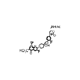 CC(=O)NC[C@H]1CN(c2ccc(OCC3(O)CCN(c4nc5c(cc4F)c(=O)c(C(=O)O)cn5C4CC4)CC3)c(F)c2)C(=O)O1